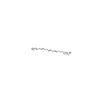 CCC=CCC=CCCC=CCC=CCCCC(=O)O